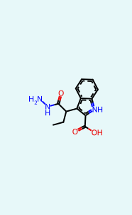 CCC(C(=O)NN)c1c(C(=O)O)[nH]c2ccccc12